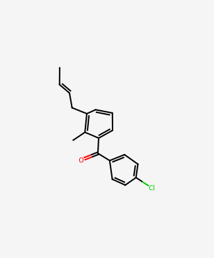 CC=CCc1cccc(C(=O)c2ccc(Cl)cc2)c1C